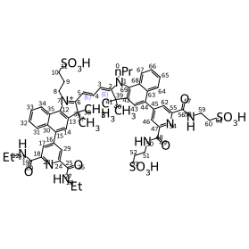 CCCN1/C(=C/C=C/C2=[N+](CCCS(=O)(=O)O)c3c(cc(-c4cc(C(=O)NCC)nc(C(=O)NCC)c4)c4ccccc34)C2(C)C)C(C)(C)c2cc(-c3cc(C(=O)NCCS(=O)(=O)O)nc(C(=O)NCCS(=O)(=O)O)c3)c3ccccc3c21